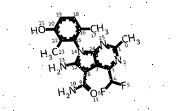 Cc1nc(C(F)F)c2c(C(N)=O)c(N)n(-c3c(C)ccc(O)c3C)c2n1